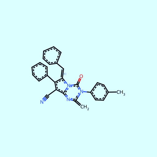 C=c1nc2c(C#N)c(-c3ccccc3)/c(=C\c3ccccc3)n2c(=O)n1-c1ccc(C)cc1